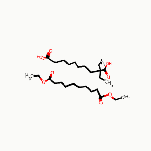 CCC(CC)(CCCCCCCC(=O)O)C(=O)O.CCOC(=O)CCCCCCCCC(=O)OCC